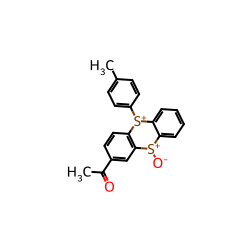 CC(=O)c1ccc2c(c1)[S+]([O-])c1ccccc1[S+]2c1ccc(C)cc1